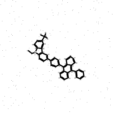 CCn1c2ccc(-c3ccc(-c4c5ccccc5c(-c5ccccc5)c5ccccc45)cc3)cc2c2cc(C(C)(C)C)ccc21